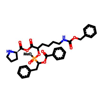 COP(=O)(OC(CCCCNC(=O)OCc1ccccc1)C(=O)OC(=O)[C@@H]1CCCN1)C(Cc1ccccc1)OC(=O)c1ccccc1